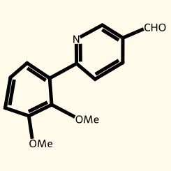 COc1cccc(-c2ccc(C=O)cn2)c1OC